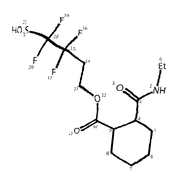 CCNC(=O)C1CCCCC1C(=O)OCCC(F)(F)C(F)(F)S(=O)(=O)O